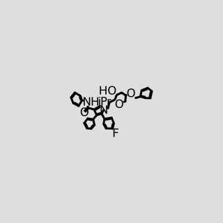 CC(C)c1c(C(=O)Nc2ccccc2)c(-c2ccccc2)c(-c2ccc(F)cc2)n1CCC1OCC(OCc2ccccc2)CC1O